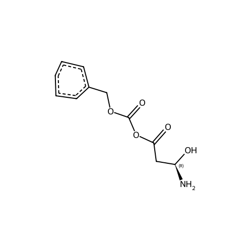 N[C@H](O)CC(=O)OC(=O)OCc1ccccc1